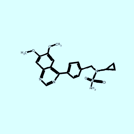 COc1cc2ncnc(-c3ccc(CN(C4CC4)S(N)(=O)=O)cc3)c2cc1OC